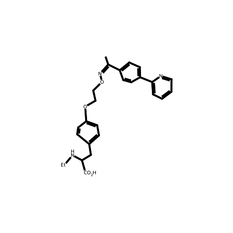 CCNC(Cc1ccc(OCCO/N=C(/C)c2ccc(-c3ccccn3)cc2)cc1)C(=O)O